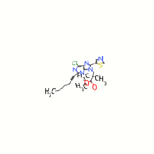 CCCCC#Cc1nc(Cl)c2nc(-c3cncs3)n(CC(C)(C)C(=O)OC)c2n1